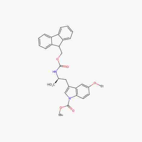 CCOc1ccc2c(c1)c(C[C@H](NC(=O)OCC1c3ccccc3-c3ccccc31)C(=O)O)cn2C(=O)OC(C)(C)C